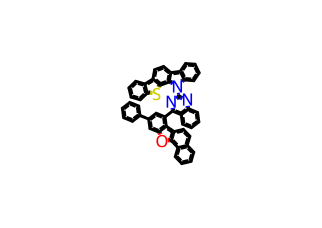 c1ccc(-c2cc(-c3nc(-n4c5ccccc5c5ccc6c7ccccc7sc6c54)nc4ccccc34)c3c(c2)oc2c4ccccc4ccc23)cc1